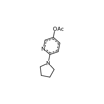 CC(=O)Oc1ccc(N2CCCC2)nc1